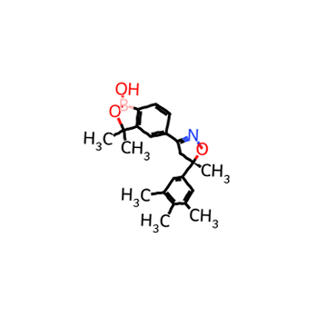 Cc1cc([C@]2(C)CC(c3ccc4c(c3)C(C)(C)OB4O)=NO2)cc(C)c1C